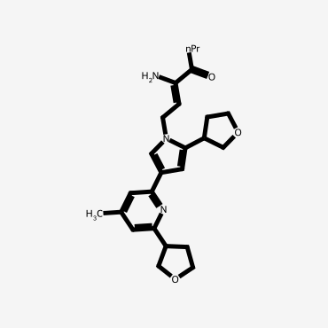 CCCC(=O)/C(N)=C/Cn1cc(-c2cc(C)cc(C3CCOC3)n2)cc1C1CCOC1